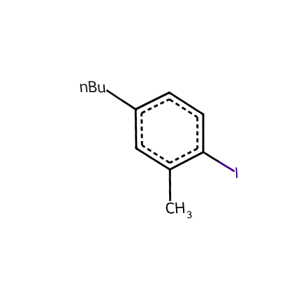 CCCCc1ccc(I)c(C)c1